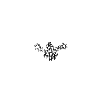 O=C(OCCN1Cc2ccccc2C1)C1=C(C(F)(F)F)NC(C(F)(F)F)=C(C(=O)OCCN2Cc3ccccc3C2)C1c1cccc([N+](=O)[O-])c1